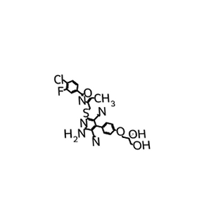 Cc1oc(-c2ccc(Cl)c(F)c2)nc1CSc1nc(N)c(C#N)c(-c2ccc(OC[C@H](O)CO)cc2)c1C#N